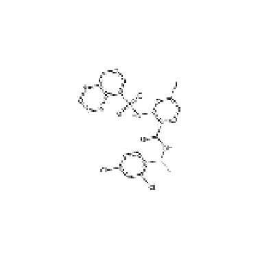 C[C@@H](NC(=O)c1ccc(I)cc1NS(=O)(=O)c1cccc2nccnc12)c1ccc(Cl)cc1Cl